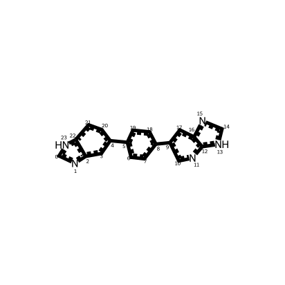 c1nc2cc(-c3ccc(-c4cnc5[nH]cnc5c4)cc3)ccc2[nH]1